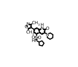 Cc1noc(C)c1-c1cc(S(=O)(=O)NC2CCCC2)c2cc(N3CCCCC3)c(=O)[nH]c2c1